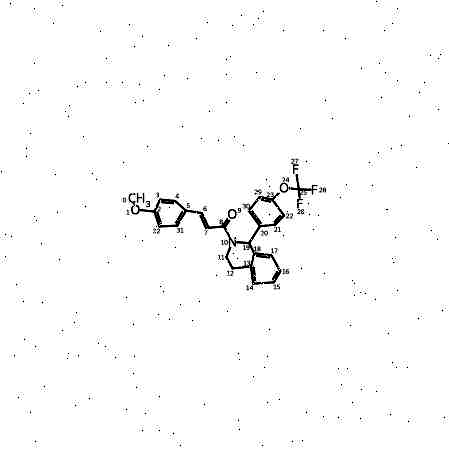 COc1ccc(C=CC(=O)N2CCc3ccccc3C2c2ccc(OC(F)(F)F)cc2)cc1